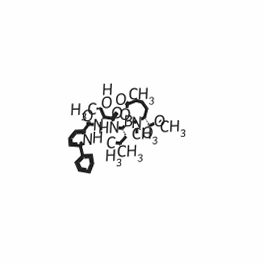 COC(=O)[C@H]1CC[C@H](C)C(=O)OB([C@H](CC(C)C)NC(=O)[C@@H](NC(=O)c2cccc(-c3ccccc3)n2)[C@@H](C)O)N1C